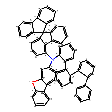 c1ccc(-c2ccccc2-c2ccccc2-c2ccccc2N(c2ccc3c(c2)oc2ccccc23)c2cccc3c2-c2ccccc2C32c3ccccc3-c3ccccc32)cc1